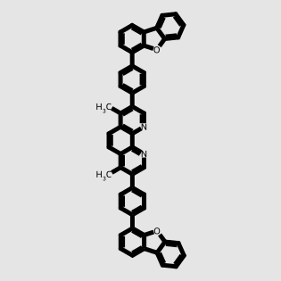 Cc1c(-c2ccc(-c3cccc4c3oc3ccccc34)cc2)cnc2c1ccc1c(C)c(-c3ccc(-c4cccc5c4oc4ccccc45)cc3)cnc12